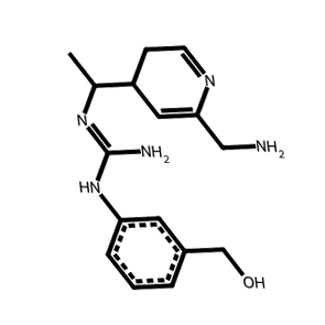 CC(/N=C(\N)Nc1cccc(CO)c1)C1C=C(CN)N=CC1